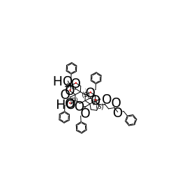 C[C@@]1(O)CCC2(C(=O)OCc3ccccc3)C(C(=O)OCc3ccccc3)(C1)[C@H](O)CC1(C(=O)OCc3ccccc3)C3(C(=O)OCc4ccccc4)CC[C@H](C(=O)CC(=O)OCc4ccccc4)[C@@]3(C)CC[C@]21C